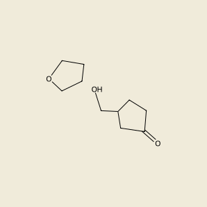 C1CCOC1.O=C1CCC(CO)C1